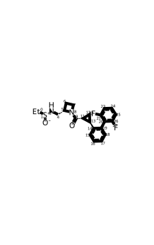 CC[S+]([O-])NC[C@@H]1CCN1C(=O)[C@@H]1C[C@H]1c1ccccc1-c1c(F)cccc1F